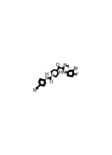 N#Cc1ccc(NC(=O)N2CCC(C(=O)/C(=N/I)Nc3ccc(F)c(Br)c3)CC2)cc1